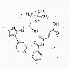 CC(C)(C)NC[C@H](O)COc1nsnc1N1CCOCC1.O=C(O)/C=C/C(=O)OC(=O)c1ccccc1